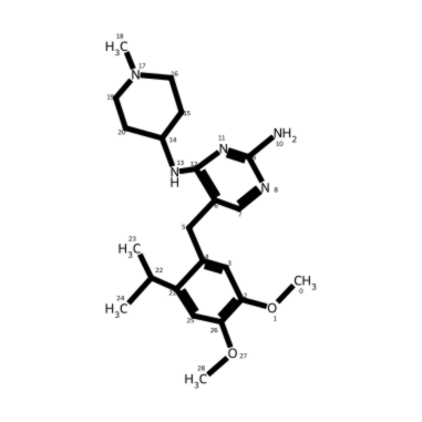 COc1cc(Cc2cnc(N)nc2NC2CCN(C)CC2)c(C(C)C)cc1OC